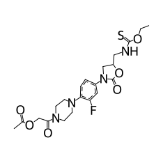 CCOC(=S)NCC1CN(c2ccc(N3CCN(C(=O)COC(C)=O)CC3)c(F)c2)C(=O)O1